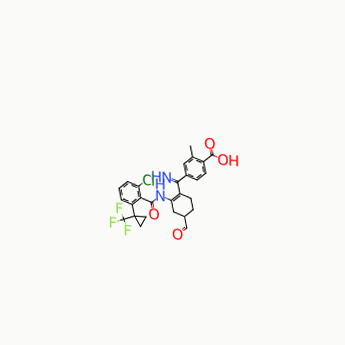 Cc1cc(C(=N)C2=C(NC(=O)c3c(Cl)cccc3C3(C(F)(F)F)CC3)CC(C=O)CC2)ccc1C(=O)O